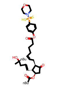 CCCCC(=O)O[C@@H]1CC(=O)[C@H](C/C=C\CCCC(=O)Oc2ccc(P(=S)(S)N3CCOCC3)cc2)[C@H]1/C=C/C[C@@](C)(O)CCCC